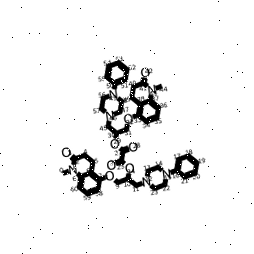 CN1C(=O)CCc2c(OCC(CN3CCN(c4ccccc4)CC3)OC(=O)C(=O)OC(COc3cccc4c3CCC(=O)N4C)CN3CCN(c4ccccc4)CC3)cccc21